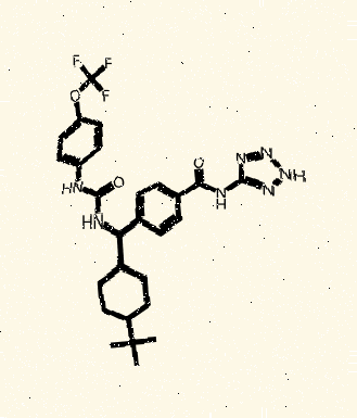 CC(C)(C)C1CCC(C(NC(=O)Nc2ccc(OC(F)(F)F)cc2)c2ccc(C(=O)Nc3nn[nH]n3)cc2)CC1